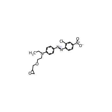 CCN(CCOCC1CO1)c1ccc(/N=N/c2ccc([N+](=O)[O-])cc2Cl)cc1